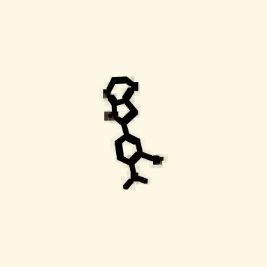 CN(C)c1ccc(-c2cc3nccnc3[nH]2)cc1Br